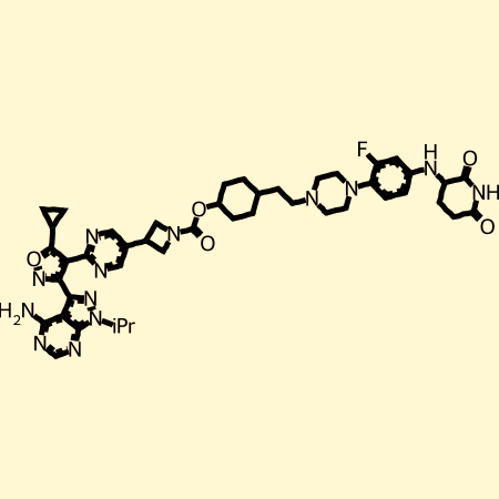 CC(C)n1nc(-c2noc(C3CC3)c2-c2ncc(C3CN(C(=O)OC4CCC(CCN5CCN(c6ccc(NC7CCC(=O)NC7=O)cc6F)CC5)CC4)C3)cn2)c2c(N)ncnc21